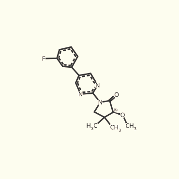 CO[C@@H]1C(=O)N(c2ncc(-c3cccc(F)c3)cn2)CC1(C)C